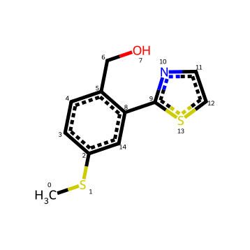 CSc1ccc(CO)c(-c2nccs2)c1